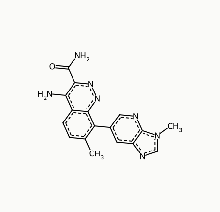 Cc1ccc2c(N)c(C(N)=O)nnc2c1-c1cnc2c(c1)ncn2C